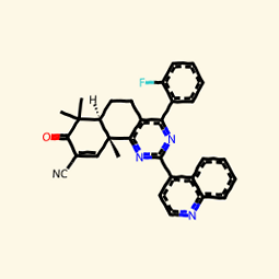 CC1(C)C(=O)C(C#N)=C[C@@]2(C)c3nc(-c4ccnc5ccccc45)nc(-c4ccccc4F)c3CC[C@H]12